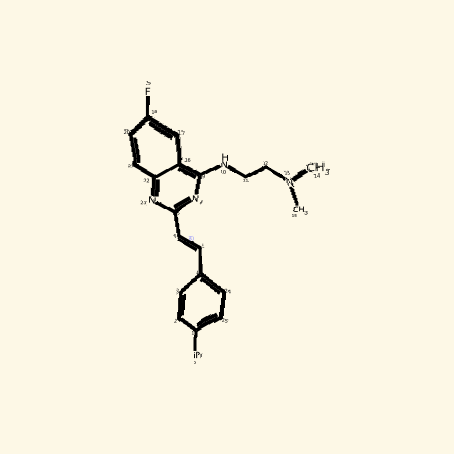 CC(C)c1ccc(/C=C/c2nc(NCCN(C)C)c3cc(F)ccc3n2)cc1